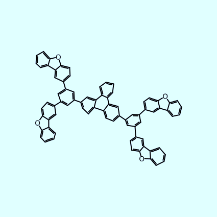 c1ccc2c(c1)oc1ccc(-c3cc(-c4ccc5oc6ccccc6c5c4)cc(-c4ccc5c6ccc(-c7cc(-c8ccc9oc%10ccccc%10c9c8)cc(-c8ccc9oc%10ccccc%10c9c8)c7)cc6c6ccccc6c5c4)c3)cc12